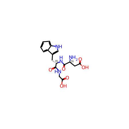 N[C@@H](CC(=O)O)C(=O)N[C@@H](Cc1c[nH]c2ccccc12)C(=O)NCC(=O)O